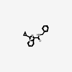 O=C(NCc1ccccc1)c1nc(C2CC2)n2ccccc12